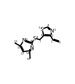 C=Cc1ncsc1CSc1nc(C)cc(C)n1